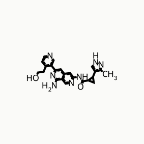 Cc1n[nH]cc1C1CC1C(=O)Nc1cc2cc(-c3cnccc3CCO)nc(N)c2cn1